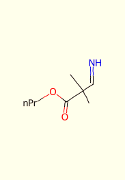 CCCOC(=O)C(C)(C)C=N